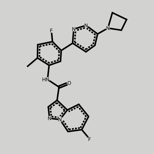 Cc1cc(F)c(-c2ccc(N3CCC3)nn2)cc1NC(=O)c1cnn2cc(F)ccc12